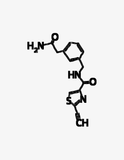 C#Cc1nc(C(=O)NCc2cccc(CC(N)=O)c2)cs1